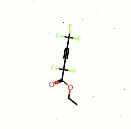 CCOC(=O)C(F)(F)C#CC(F)(F)F